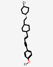 CCOc1ccc(C#C/C=C/C2CCC(CC[C@H]3CC[C@H](CC)CC3)CC2)cc1